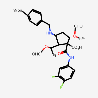 CCCCCCCCCc1ccc(CNC2CCC(C(=O)O)(C(=O)Nc3ccc(F)c(F)c3)C2C(CC)OC=O)cc1.CCCOC=O